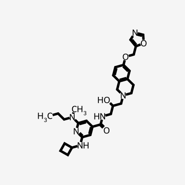 CCCN(C)c1cc(C(=O)NCC(O)CN2CCc3cc(OCc4cnco4)ccc3C2)cc(NC2CCC2)n1